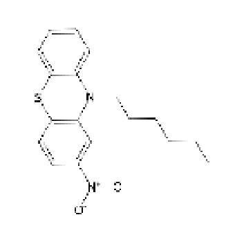 CCCCCCN1c2ccccc2Sc2ccc([N+](=O)[O-])cc21